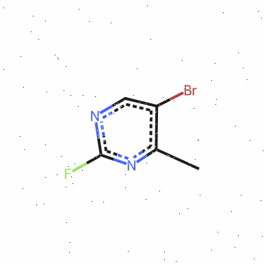 Cc1nc(F)ncc1Br